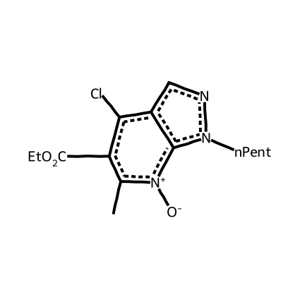 CCCCCn1ncc2c(Cl)c(C(=O)OCC)c(C)[n+]([O-])c21